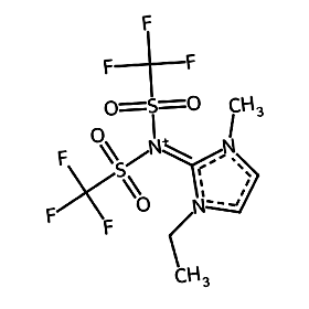 CCn1ccn(C)c1=[N+](S(=O)(=O)C(F)(F)F)S(=O)(=O)C(F)(F)F